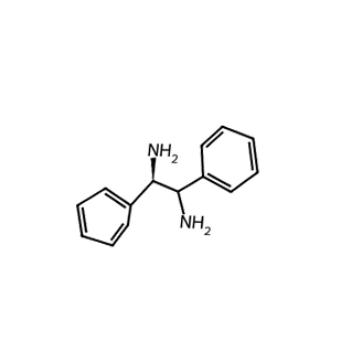 NC(c1ccccc1)[C@H](N)c1ccccc1